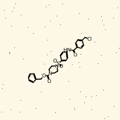 O=C(Nc1ccc(S(=O)(=O)N2CCN(C(=O)OCc3ccccc3)CC2)cc1)c1ccc(CCl)cc1